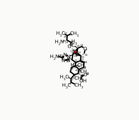 CC(C)[C@@H](C)[C@@]1(C)CC[C@]2(C)[C@H]3CC[C@@H]4[C@@]5(COC[C@@]4(C)[C@@H](OC[C@H](N)C(C)C)[C@H](n4nnc(N)n4)C5)C3=CC[C@@]2(C)[C@@H]1C(=O)O